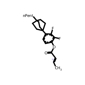 C/C=C/C(=O)Oc1ccc(C23CCC(CCCCC)(CC2)CC3)c(F)c1F